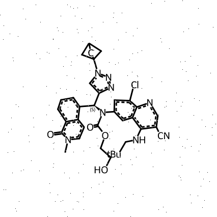 Cn1ccc2c([C@@H](c3cn(C45CC(C4)C5)nn3)N(C(=O)OCCO)c3cc(Cl)c4ncc(C#N)c(NCC(C)(C)C)c4c3)cccc2c1=O